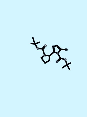 CC(C)(C)OC(=O)N1CCCC1c1ncc(Br)n1C(=O)OC(C)(C)C